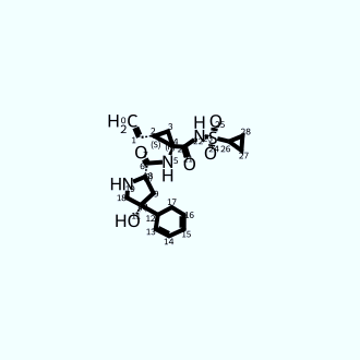 C=C[C@@H]1C[C@]1(NC(=O)[C@@H]1C[C@@](O)(C2C=CC=CC2)CN1)C(=O)NS(=O)(=O)C1CC1